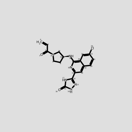 C=CC(=O)N1CC[C@H](Nc2nc(-c3n[nH]c(=O)[nH]3)cc3ccc(Cl)cc23)C1